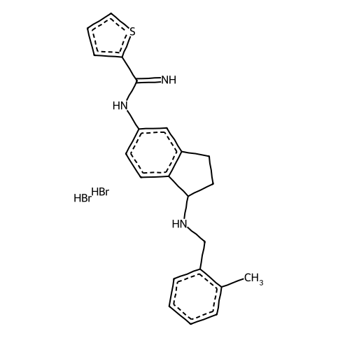 Br.Br.Cc1ccccc1CNC1CCc2cc(NC(=N)c3cccs3)ccc21